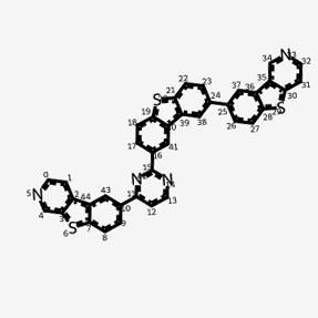 c1cc2c(cn1)sc1ccc(-c3ccnc(-c4ccc5sc6ccc(-c7ccc8sc9ccncc9c8c7)cc6c5c4)n3)cc12